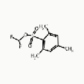 Cc1cc(C)c(S(=O)(=O)OC(F)F)c(C)c1